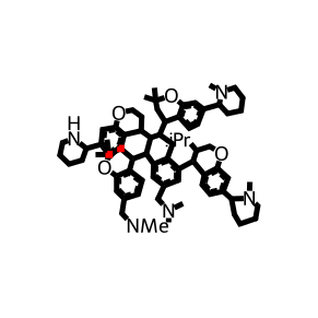 CNCc1ccc2c(c1)OC(C)(C)CC2C1c2cc(CN(C)C)cc(C3c4ccc(C5CCCCN5C)cc4OCC3C(C)C)c2[C]C(C2CC(C)(C)Oc3cc(C4CCCCN4C)ccc32)C1C1CCOc2cc(C3CCCCN3)ccc21